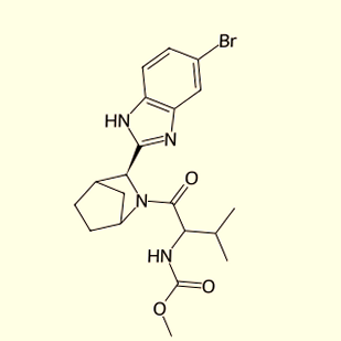 COC(=O)NC(C(=O)N1C2CCC(C2)[C@H]1c1nc2cc(Br)ccc2[nH]1)C(C)C